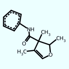 CC1=COC(C)C1(C)C(=O)Nc1ccccc1